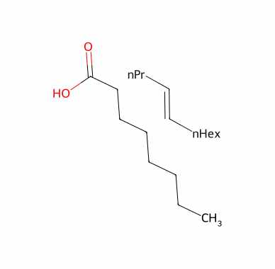 CCCC=CCCCCCC.CCCCCCCC(=O)O